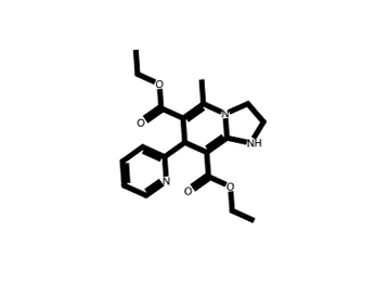 CCOC(=O)C1=C(C)N2CCNC2=C(C(=O)OCC)C1c1ccccn1